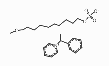 CC(c1ccccc1)[n+]1ccccc1.CCCCCCCCCCCCOS(=O)(=O)[O-]